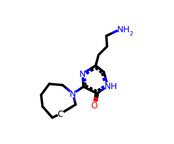 NCCCc1c[nH]c(=O)c(N2CCCCCCC2)n1